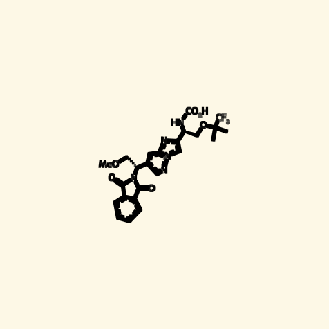 COC[C@H](c1cnn2cc([C@H](COC(C)(C)C(F)(F)F)NC(=O)O)nc2c1)N1C(=O)c2ccccc2C1=O